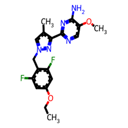 CCOc1cc(F)c(Cn2cc(C)c(-c3ncc(OC)c(N)n3)n2)c(F)c1